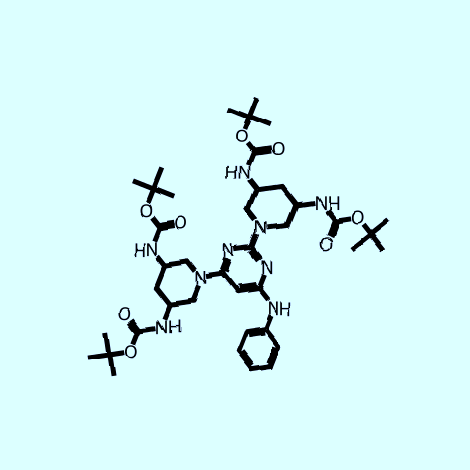 CC(C)(C)OC(=O)NC1CC(NC(=O)OC(C)(C)C)CN(c2cc(Nc3ccccc3)nc(N3CC(NC(=O)OC(C)(C)C)CC(NC(=O)OC(C)(C)C)C3)n2)C1